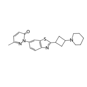 Cc1ccc(=O)n(-c2ccc3nc(C4CC(N5CCCCC5)C4)sc3c2)n1